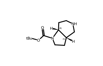 CC(C)(C)OC(=O)N1CC[C@H]2CNCC[C@H]21